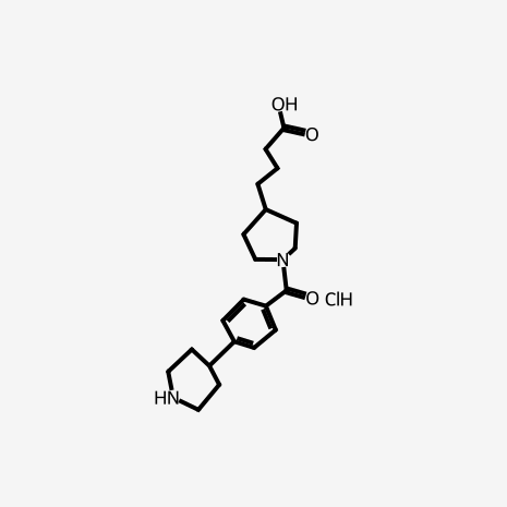 Cl.O=C(O)CCCC1CCN(C(=O)c2ccc(C3CCNCC3)cc2)CC1